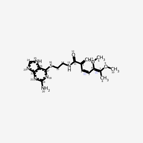 C=C(/C=C\C(OC)=C(/C)OC)C(=O)NCCSc1nc(N)nc2nc[nH]c12